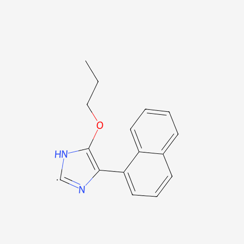 CCCOc1[nH][c]nc1-c1cccc2ccccc12